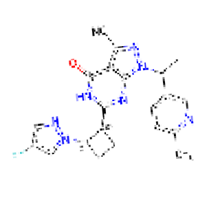 CC(c1ccc(C(F)(F)F)nc1)n1nc(C#N)c2c(=O)[nH]c([C@H]3CC[C@@H]3n3cc(F)cn3)nc21